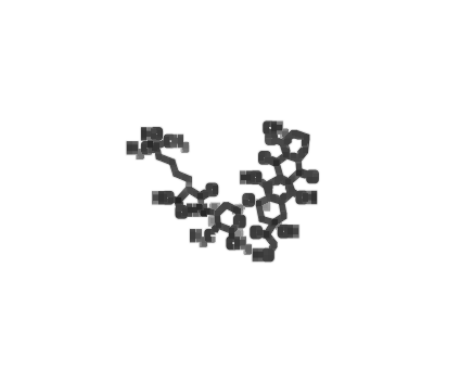 COc1cccc2c1C(=O)c1c(O)c3c(c(O)c1C2=O)C[C@@](O)(C(=O)CO)C[C@@H]3O[C@H]1C[C@H](NC(=O)C(CCCC[Si](C)(C)O)C(=O)O)[C@H](C)[C@H](C)O1